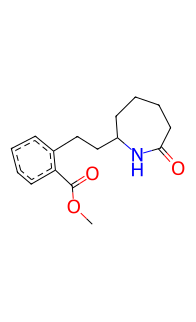 COC(=O)c1ccccc1CCC1CCCCC(=O)N1